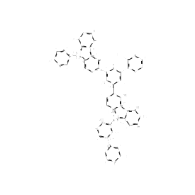 Brc1ccccc1-c1cc(-c2ccc3c(c2)c2ccccc2n3-c2ccccc2)cc(-c2ccc3c(c2)c2ccccc2n3-c2cccc(-c3ccccc3)c2)c1